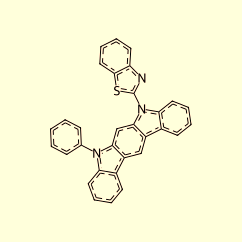 c1ccc(-n2c3ccccc3c3cc4c5ccccc5n(-c5nc6ccccc6s5)c4cc32)cc1